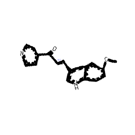 COc1ccc2[nH]cc(/C=C/C(=O)c3ccncc3)c2c1